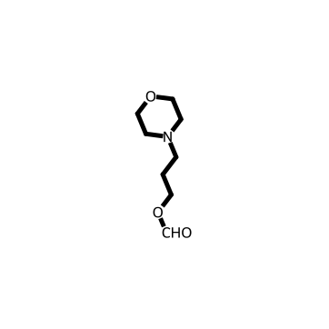 O=COCCCN1CCOCC1